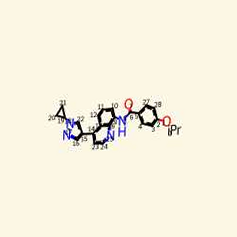 CC(C)Oc1ccc(C(=O)Nc2cccc3c(-c4cnn(C5CC5)c4)ccnc23)cc1